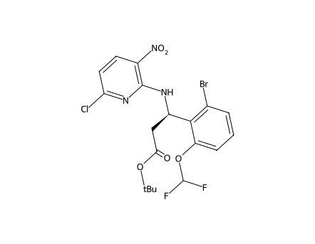 CC(C)(C)OC(=O)C[C@@H](Nc1nc(Cl)ccc1[N+](=O)[O-])c1c(Br)cccc1OC(F)F